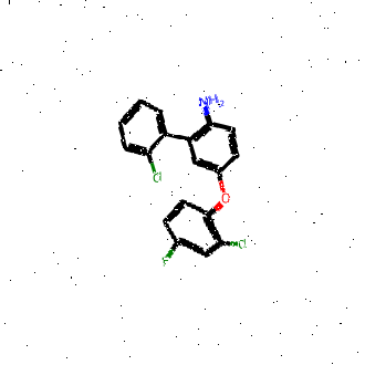 Nc1ccc(Oc2ccc(F)cc2Cl)cc1-c1ccccc1Cl